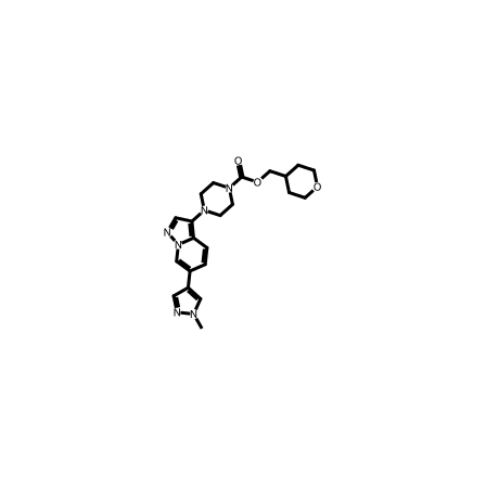 Cn1cc(-c2ccc3c(N4CCN(C(=O)OCC5CCOCC5)CC4)cnn3c2)cn1